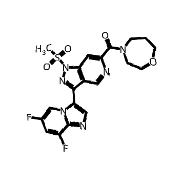 CS(=O)(=O)n1nc(-c2cnc3c(F)cc(F)cn23)c2cnc(C(=O)N3CCCOCC3)cc21